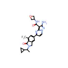 CC(C1CC1)N1Cc2cc(-c3ccn4nc(N)c(C(=O)NC5COC5)c4n3)cc(C(F)(F)F)c2C1=O